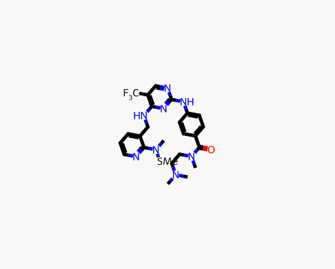 CSN(C)c1ncccc1CNc1nc(Nc2ccc(C(=O)N(C)CCN(C)C)cc2)ncc1C(F)(F)F